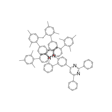 Cc1cc(C)c(-c2ccc3c(c2)c2cc(-c4c(C)cc(C)cc4C)ccc2n3-c2ccccc2-c2cc(-c3cc(-c4ccccc4)nc(-c4ccccc4)n3)ccc2-n2c3ccc(-c4c(C)cc(C)cc4C)cc3c3cc(-c4c(C)cc(C)cc4C)ccc32)c(C)c1